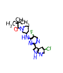 CC(C)(C)C(=O)N1CCCC(Nc2nc(-c3c[nH]c4ncc(Cl)cc34)ncc2F)C1